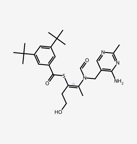 C/C(=C(\CCO)SC(=O)c1cc(C(C)(C)C)cc(C(C)(C)C)c1)N(C=O)Cc1cnc(C)nc1N